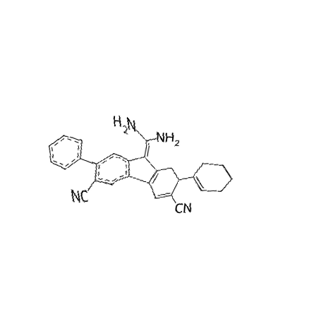 N#CC1=CC2=C(CC1C1=CCCCC1)C(=C(N)N)c1cc(-c3ccccc3)c(C#N)cc12